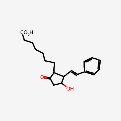 O=C(O)CCCCCCC1C(=O)CC(O)C1/C=C/c1ccccc1